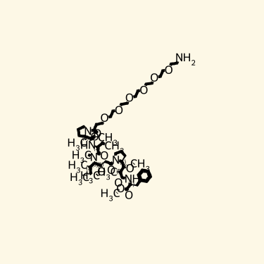 CC[C@H](C)[C@@H]([C@@H](CC(=O)N1CCC[C@H]1[C@H](OC)[C@@H](C)C(=O)N[C@@H](Cc1ccccc1)C(=O)OC)OC)N(C)C(=O)[C@@H](NC(=O)[C@]1(C)CCCN1C(=O)CCOCCOCCOCCOCCOCCOCCN)C(C)C